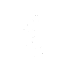 COC(=O)c1csc(NC(=O)C(CC2CC2)N2C(=O)NC(c3ccc4c(c3)OCO4)C2=O)n1